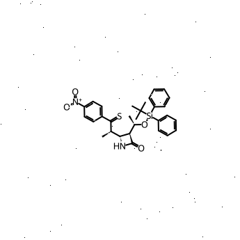 C[C@@H](O[Si](c1ccccc1)(c1ccccc1)C(C)(C)C)[C@H]1C(=O)N[C@@H]1[C@@H](C)C(=S)c1ccc([N+](=O)[O-])cc1